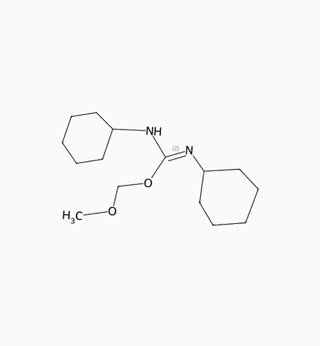 COCO/C(=N\C1CCCCC1)NC1CCCCC1